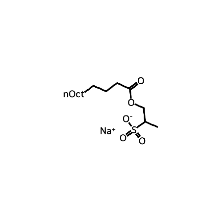 CCCCCCCCCCCC(=O)OCC(C)S(=O)(=O)[O-].[Na+]